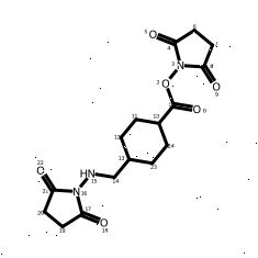 O=C(ON1C(=O)CCC1=O)C1CCC(CNN2C(=O)CCC2=O)CC1